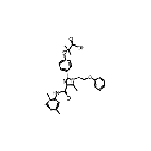 Cc1ccc(C)c(NC(=O)c2nc(-c3ccc(SC(C)(C)C(=O)O)cc3)n(CCOc3ccccc3)c2C)c1